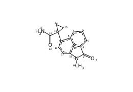 CN1C(=O)c2cccc3c(C4(C(N)=O)CC4)ccc1c23